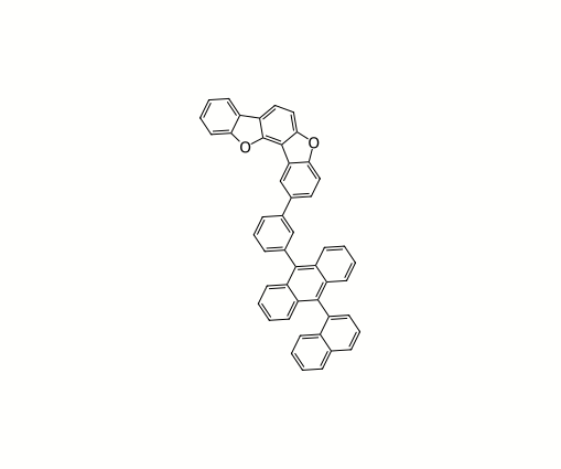 c1cc(-c2ccc3oc4ccc5c6ccccc6oc5c4c3c2)cc(-c2c3ccccc3c(-c3cccc4ccccc34)c3ccccc23)c1